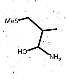 CSCC(C)C(N)O